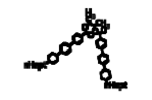 CCCCCCCC1CCC(c2ccc(-c3ccc(C(=O)OC(C)C(C)OC(=O)c4ccc(-c5ccc(C6CCC(CCCCCCC)CC6)cc5)cc4)cc3)cc2)CC1